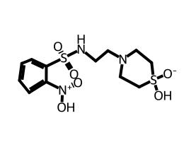 O=[N+](O)c1ccccc1S(=O)(=O)NCCN1CCS([O-])(O)CC1